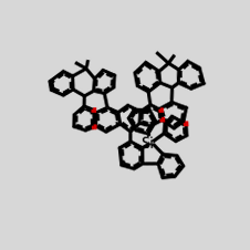 CC1(C)c2ccccc2C(c2ccccc2)c2c(-c3cccc4c(-c5cccc6c5[Si](c5ccccc5)(c5ccccc5)c5ccccc5-6)c5cccc(-c6cccc7c6C(c6ccccc6)c6ccccc6C7(C)C)c5cc34)cccc21